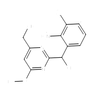 COc1cc(CO)nc(C(C)c2cccc(Cl)c2N)n1